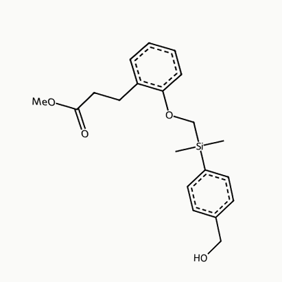 COC(=O)CCc1ccccc1OC[Si](C)(C)c1ccc(CO)cc1